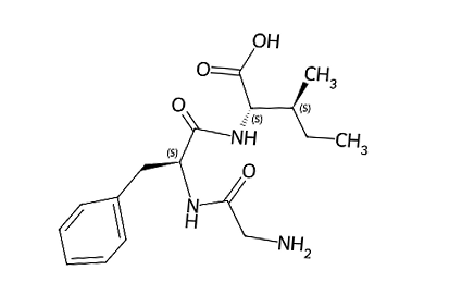 CC[C@H](C)[C@H](NC(=O)[C@H](Cc1ccccc1)NC(=O)CN)C(=O)O